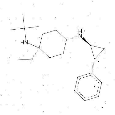 CC[C@]1(NC(C)(C)C)CC[C@H](N[C@H]2C[C@@H]2c2ccccc2)CC1